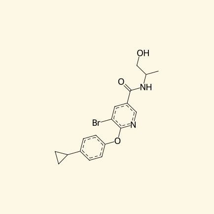 CC(CO)NC(=O)c1cnc(Oc2ccc(C3CC3)cc2)c(Br)c1